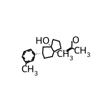 CC(C=O)=C[C@H]1CC[C@]2(O)C[C@@H](c3cccc(C)c3)CC[C@]12C